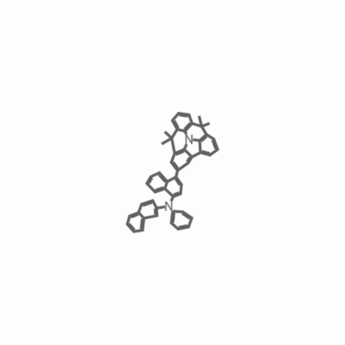 CC1(C)c2cccc3c2-n2c4c1cccc4c1cc(-c4ccc(N(c5ccccc5)c5ccc6ccccc6c5)c5ccccc45)cc(c12)C3(C)C